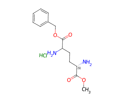 COC(=O)[C@@H](N)CCC(N)C(=O)OCc1ccccc1.Cl